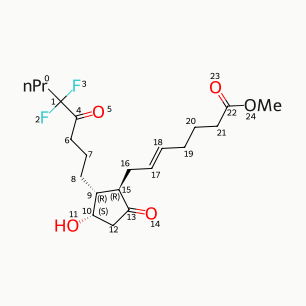 CCCC(F)(F)C(=O)CCC[C@H]1[C@@H](O)CC(=O)[C@@H]1CC=CCCCC(=O)OC